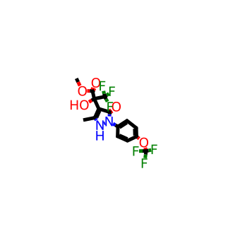 COC(=O)C(O)(c1c(C)[nH]n(-c2ccc(OC(F)(F)F)cc2)c1=O)C(F)(F)F